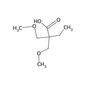 CCC(COC)(COC)C(=O)O